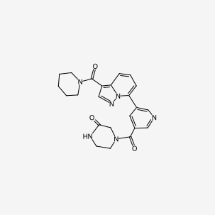 O=C1CN(C(=O)c2cncc(-c3cccc4c(C(=O)N5CCCCC5)cnn34)c2)CCN1